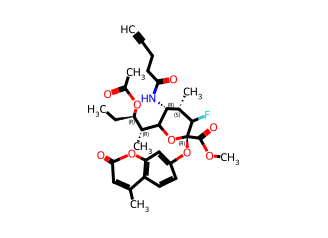 C#CCCC(=O)N[C@H]1C([C@H](C)[C@@H](CC)OC(C)=O)O[C@@](Oc2ccc3c(C)cc(=O)oc3c2)(C(=O)OC)C(F)[C@H]1C